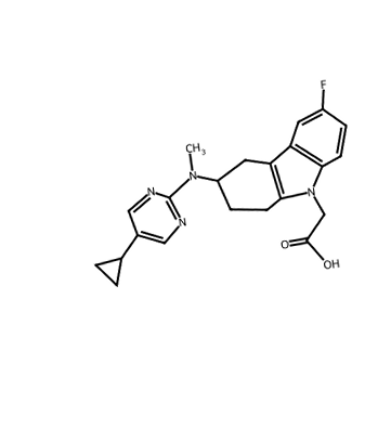 CN(c1ncc(C2CC2)cn1)C1CCc2c(c3cc(F)ccc3n2CC(=O)O)C1